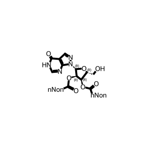 CCCCCCCCCC(=O)O[C@@H]1[C@H](OC(=O)CCCCCCCCC)[C@@H](CO)O[C@H]1n1ncc2c(=O)[nH]cnc21